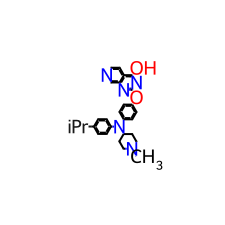 CC(C)c1ccc(N(c2ccc(Oc3nc(O)c4ccncc4n3)cc2)C2CCN(C)CC2)cc1